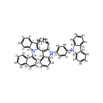 C=Cc1c(-c2c(C)c3ccccc3n2-c2cccc3ccccc23)c2ccccc2n1-c1ccc(-n2c3ccccc3c3ccccc32)cc1